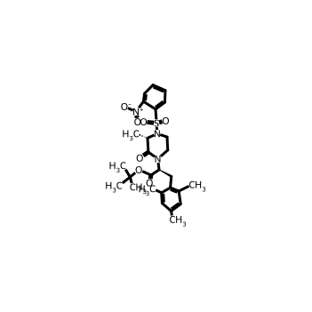 Cc1cc(C)c(C[C@@H](C(=O)OC(C)(C)C)N2CCN(S(=O)(=O)c3ccccc3[N+](=O)[O-])[C@@H](C)C2=O)c(C)c1